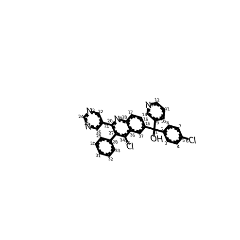 OC(c1ccc(Cl)cc1)(c1cccnc1)c1ccc2nc(-c3cncnc3)c(-c3ccccc3)c(Cl)c2c1